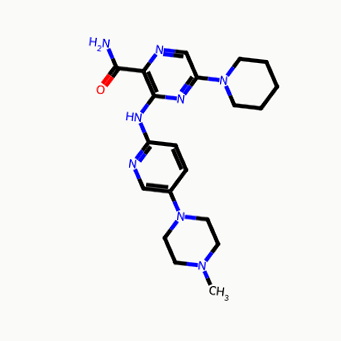 CN1CCN(c2ccc(Nc3nc(N4CCCCC4)cnc3C(N)=O)nc2)CC1